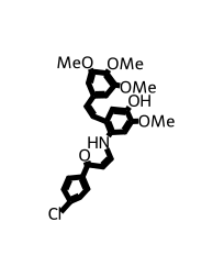 COc1cc(N/C=C\C(=O)c2ccc(Cl)cc2)c(/C=C\c2cc(OC)c(OC)c(OC)c2)cc1O